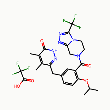 Cc1c(Cc2ccc(OC(C)C)c(C(=O)N3CCn4c(nnc4C(F)(F)F)C3)c2)n[nH]c(=O)c1C.O=C(O)C(F)(F)F